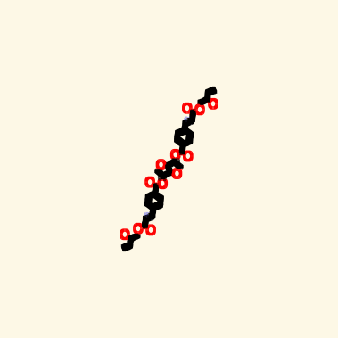 C=CC(=O)COC(=O)/C=C/c1ccc(C(=O)O[C@@H]2COC3C2OC[C@H]3OC(=O)c2ccc(/C=C/C(=O)OCC(=O)C=C)cc2)cc1